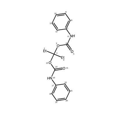 CCC(CC)(OC(=O)Nc1ccccc1)OC(=O)Nc1ccccc1